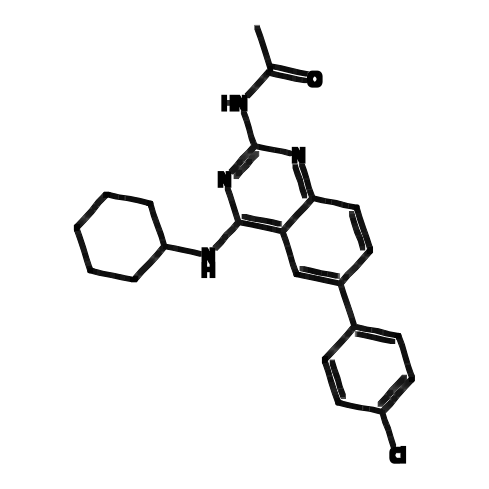 CC(=O)Nc1nc(NC2CCCCC2)c2cc(-c3ccc(Cl)cc3)ccc2n1